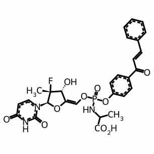 CC(NP(=O)(O/C=C1/O[C@@H](n2ccc(=O)[nH]c2=O)[C@](C)(F)[C@@H]1O)Oc1ccc(C(=O)/C=C/c2ccccc2)cc1)C(=O)O